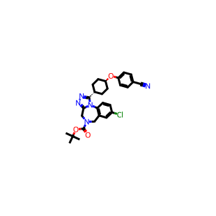 CC(C)(C)OC(=O)N1Cc2cc(Cl)ccc2-n2c(nnc2[C@H]2CC[C@H](Oc3ccc(C#N)cc3)CC2)C1